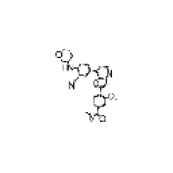 COc1cc(C(=O)N(C)C)ccc1-c1cc2nccc(-c3ccc(NC4CCCOC4)c(C#N)c3)c2o1